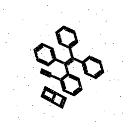 C#Cc1ccccc1C(=C(c1ccccc1)c1ccccc1)c1ccccc1.c1cc2ccc1-2